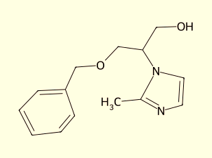 Cc1nccn1C(CO)COCc1ccccc1